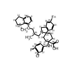 C[C@@H](COc1ccnc2c1[C@H](C)CCC2)CN1Cc2cc(F)ccc2C12CCC(Nc1ccc(F)c(Cl)c1)(C(=O)O)CC2